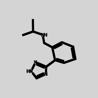 CC(C)NCc1ccccc1-c1nc[nH]n1